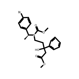 COC(=O)CC(O)(CCN(C(=O)OC)[C@@H](C)c1ccc(Br)cc1)c1ccccc1